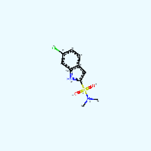 CN(C)S(=O)(=O)c1cc2ccc(Cl)cc2[nH]1